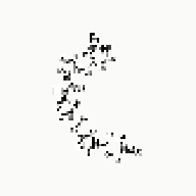 CC(=O)N1CCC(n2cnc(C=Cc3csc(NC(=O)c4cccn4Cc4ccnc(F)c4)n3)c2)CC1